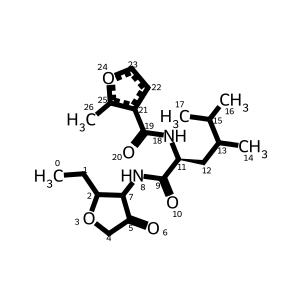 CCC1OCC(=O)C1NC(=O)[C@H](CC(C)C(C)C)NC(=O)c1ccoc1C